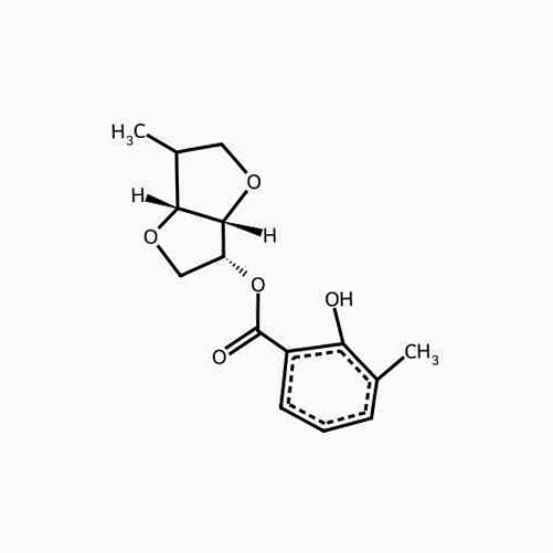 Cc1cccc(C(=O)O[C@@H]2CO[C@@H]3C(C)CO[C@@H]32)c1O